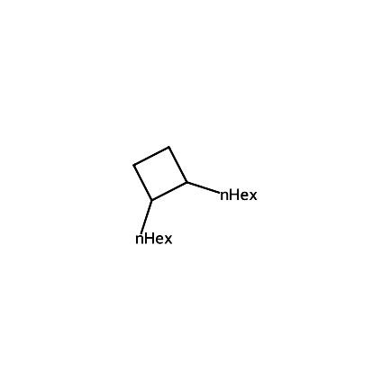 CCCCCCC1CCC1CCCCCC